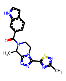 Cc1nsc(-c2nnc3n2CCN(C(=O)c2ccc4cc[nH]c4c2)[C@@H]3C)n1